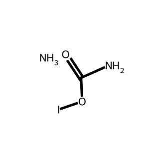 N.NC(=O)OI